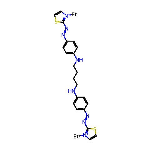 CC[n+]1ccsc1/N=N/c1ccc(NCCCCNc2ccc(/N=N/c3scc[n+]3CC)cc2)cc1